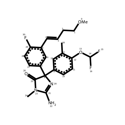 COCCC=Cc1cc(C2(c3ccc(OC(F)F)c(C)c3)N=C(N)N(C)C2=O)ccc1F